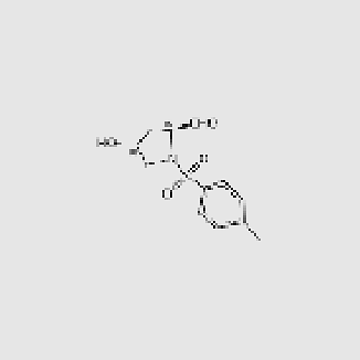 Cc1ccc(S(=O)(=O)N2C[C@H](O)C[C@H]2C=O)cc1